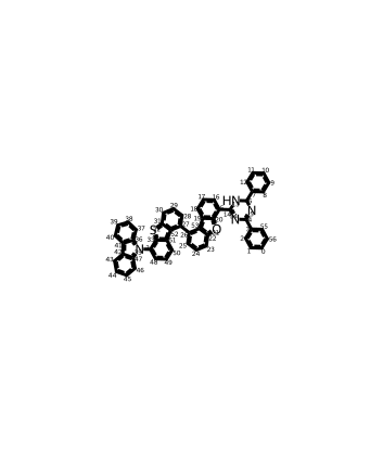 c1ccc(C2=NC(c3ccccc3)NC(c3cccc4c3oc3cccc(-c5cccc6sc7c(-n8c9ccccc9c9ccccc98)cccc7c56)c34)=N2)cc1